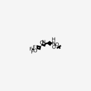 CC(C)(C)OC(=O)NC12CC(c3cc([C@H]4C[C@@H](OC(F)(F)F)C4)on3)(C1)C2